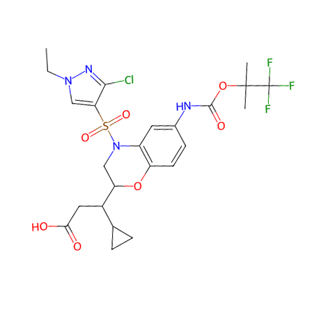 CCn1cc(S(=O)(=O)N2CC(C(CC(=O)O)C3CC3)Oc3ccc(NC(=O)OC(C)(C)C(F)(F)F)cc32)c(Cl)n1